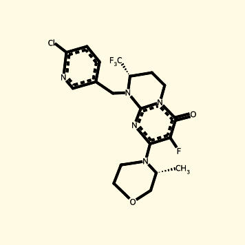 C[C@@H]1COCCN1c1nc2n(c(=O)c1F)CC[C@@H](C(F)(F)F)N2Cc1ccc(Cl)nc1